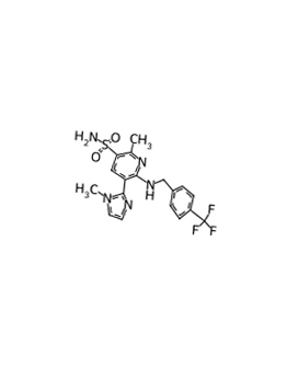 Cc1nc(NCc2ccc(C(F)(F)F)cc2)c(-c2nccn2C)cc1S(N)(=O)=O